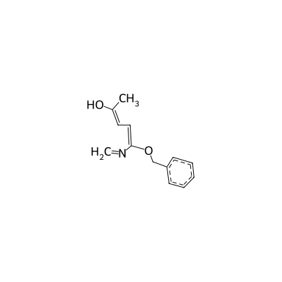 C=N/C(=C\C=C(/C)O)OCc1ccccc1